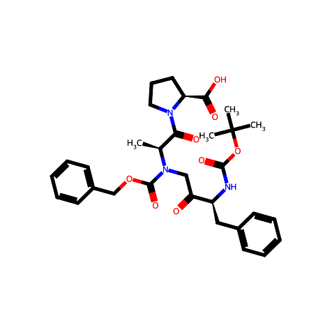 C[C@@H](C(=O)N1CCC[C@H]1C(=O)O)N(CC(=O)[C@H](Cc1ccccc1)NC(=O)OC(C)(C)C)C(=O)OCc1ccccc1